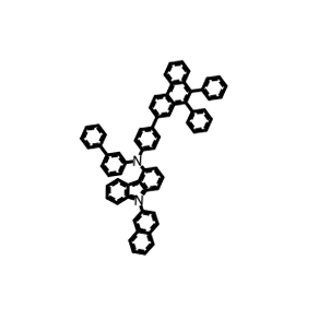 c1ccc(-c2cccc(N(c3ccc(-c4ccc5c(c4)c(-c4ccccc4)c(-c4ccccc4)c4ccccc45)cc3)c3cccc4c3c3ccccc3n4-c3ccc4ccccc4c3)c2)cc1